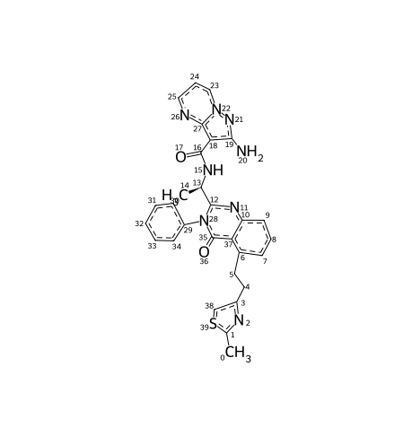 Cc1nc(CCc2cccc3nc([C@@H](C)NC(=O)c4c(N)nn5cccnc45)n(-c4ccccc4)c(=O)c23)cs1